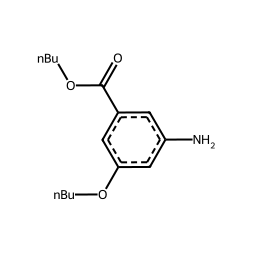 CCCCOC(=O)c1cc(N)cc(OCCCC)c1